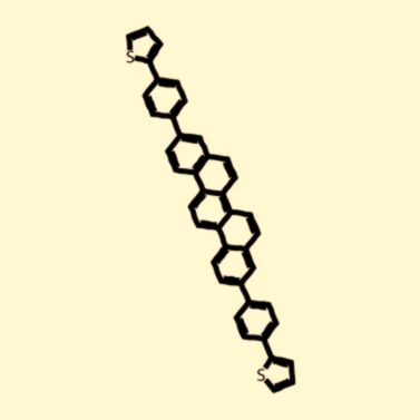 c1csc(-c2ccc(-c3ccc4c(ccc5c4ccc4c6ccc(-c7ccc(-c8cccs8)cc7)cc6ccc45)c3)cc2)c1